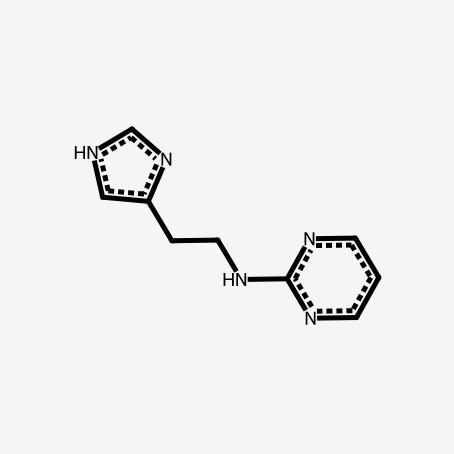 c1cnc(NCCc2c[nH]cn2)nc1